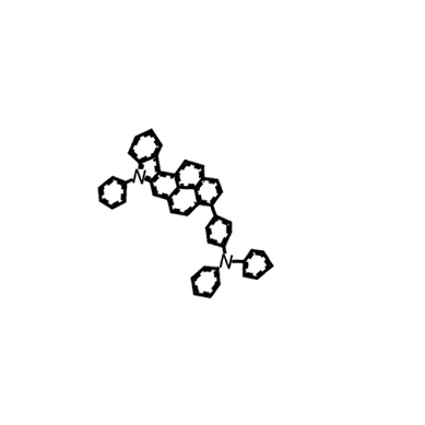 c1ccc(N(c2ccccc2)c2ccc(-c3ccc4ccc5c6c(ccc3c46)cc3c5c4ccccc4n3-c3ccccc3)cc2)cc1